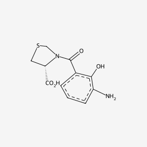 Nc1cccc(C(=O)N2CSC[C@H]2C(=O)O)c1O